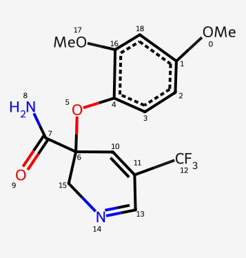 COc1ccc(OC2(C(N)=O)C=C(C(F)(F)F)C=NC2)c(OC)c1